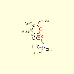 CC(=O)OC[C@@H]1O[C@H](OCC[N+](C)(C)CCl)[C@@H](OC(C)=O)[C@H](OC(C)=O)[C@H]1OC(C)=O